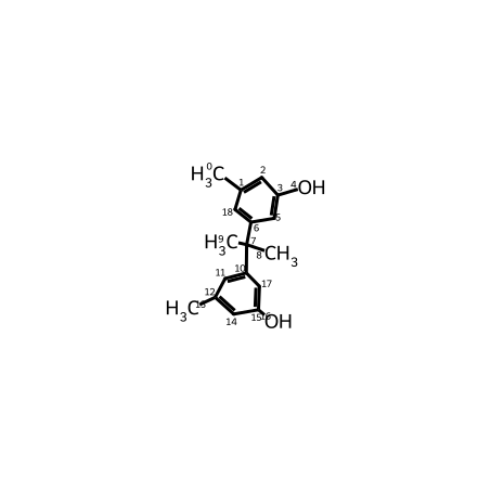 Cc1cc(O)cc(C(C)(C)c2cc(C)cc(O)c2)c1